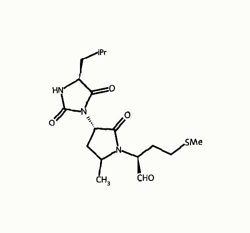 CSCC[C@@H](C=O)N1C(=O)[C@@H](N2C(=O)N[C@@H](CC(C)C)C2=O)CC1C